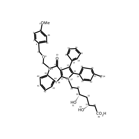 COc1ccc(COCN(C(=O)c2c(-c3ccccc3)c(-c3ccc(F)cc3)n(CC[C@@H](O)C[C@@H](O)CC(=O)O)c2C(C)C)c2ccccc2)cc1